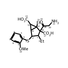 CCC1C(Sc2ccccc2OC)C2C(C(=O)O)C2(CC)C1(C(=O)O)C(=O)CN